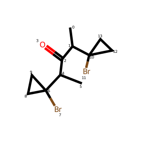 CC(C(=O)C(C)C1(Br)CC1)C1(Br)CC1